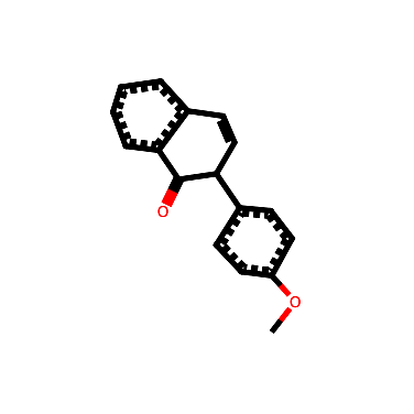 COc1ccc(C2C=Cc3ccccc3C2=O)cc1